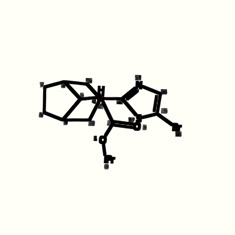 CC(C)OC(=O)NC1C2CCC1CC(c1ncc(Br)s1)C2